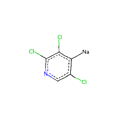 [Na][c]1c(Cl)cnc(Cl)c1Cl